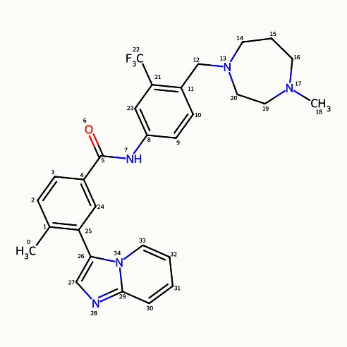 Cc1ccc(C(=O)Nc2ccc(CN3CCCN(C)CC3)c(C(F)(F)F)c2)cc1-c1cnc2ccccn12